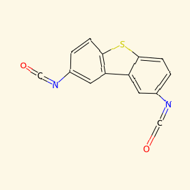 O=C=Nc1ccc2sc3ccc(N=C=O)cc3c2c1